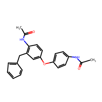 CC(=O)Nc1ccc(Oc2ccc(NC(C)=O)c(Cc3ccccc3)c2)cc1